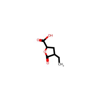 CCC1CC(C(=O)O)OC1=O